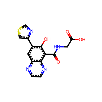 O=C(O)CNC(=O)c1c(O)c(-c2cscn2)cc2nccnc12